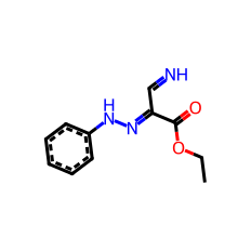 CCOC(=O)/C(C=N)=N/Nc1ccccc1